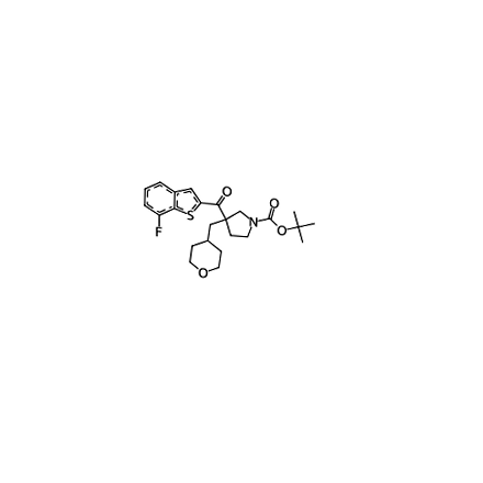 CC(C)(C)OC(=O)N1CCC(CC2CCOCC2)(C(=O)c2cc3cccc(F)c3s2)C1